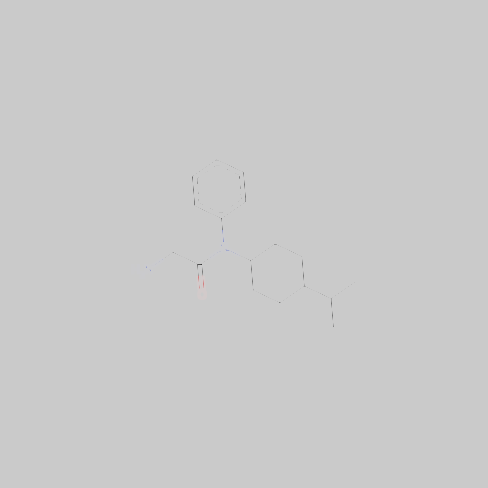 CC(C)C1CCC(N(C(=O)CN)c2ccccc2)CC1